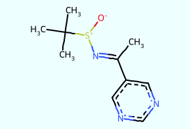 CC(=N[S+]([O-])C(C)(C)C)c1cncnc1